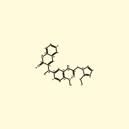 CCc1nccn1CC(=O)Nc1cc(N(C)c2cc3ccccc3oc2=O)ccc1OC